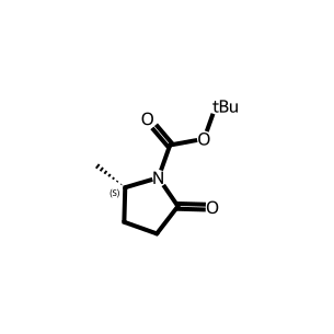 C[C@H]1CCC(=O)N1C(=O)OC(C)(C)C